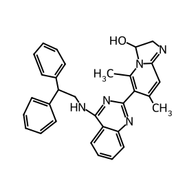 CC1=CC2=NCC(O)N2C(C)=C1c1nc(NCC(c2ccccc2)c2ccccc2)c2ccccc2n1